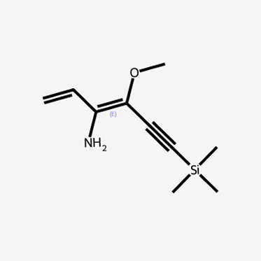 C=C/C(N)=C(/C#C[Si](C)(C)C)OC